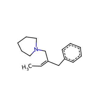 CC=C(Cc1ccccc1)CN1CCCCC1